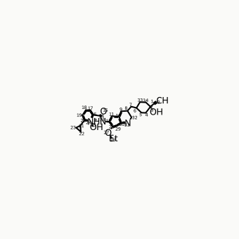 C#CC1(O)CCC(CC2C=c3cc(NC(=O)c4cccc(C5CC5)[n+]4O)c(OCC)cc3=NC2)CC1